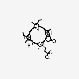 CCC1=C(C)c2cc3[nH]c(c(C)c3CC)c(Br)c3nc(c4c5[nH]c(cc1n2)c(C)c5C(=O)C4)[C@@H](CCC(=O)OC)[C@@H]3C